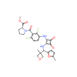 COC(=O)[C@@H]1CCCN1C(=O)c1c(F)ccc(Nc2c(NC(c3ccc(C)o3)C3(C)COC3)c(=O)c2=O)c1F